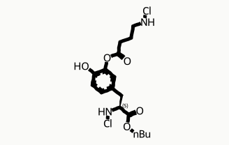 CCCCOC(=O)[C@H](Cc1ccc(O)c(OC(=O)CCCNCl)c1)NCl